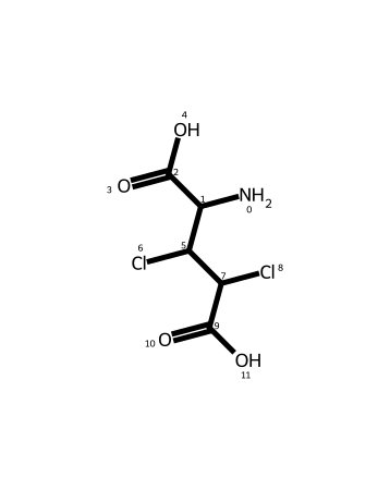 NC(C(=O)O)C(Cl)C(Cl)C(=O)O